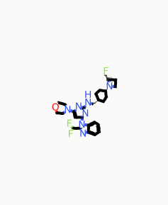 FC[C@@H]1CCN1[C@H]1CC[C@@H](CNc2nc(N3CCOCC3)cc(-n3c(C(F)F)nc4ccccc43)n2)CC1